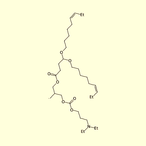 [CH2]C(COC(=O)CCC(OCCCCC/C=C\CC)OCCCCC/C=C\CC)COC(=O)OCCCN(CC)CC